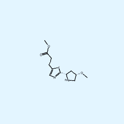 COC(=O)CCc1cnc([C@@H]2C[C@H](OC)CN2)s1